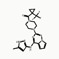 Cc1cc(Nc2nc(N3CCN(C(=O)C4(C(F)(F)F)CC4)CC3)nn3cccc23)n[nH]1